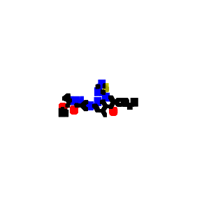 CCOCC1(NC(=O)C2CN(C3=CC(C)C4C(=O)C(C(=O)O)=CN(c5ncns5)C4=N3)C2)CC1